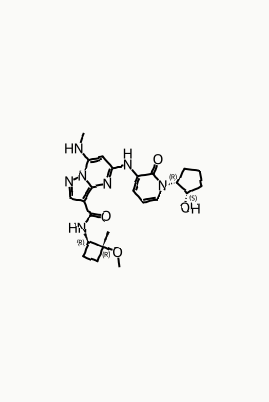 CNc1cc(Nc2cccn([C@@H]3CCC[C@@H]3O)c2=O)nc2c(C(=O)N[C@@H]3CC[C@@]3(C)OC)cnn12